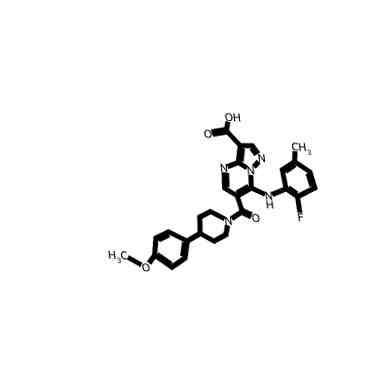 COc1ccc(C2CCN(C(=O)c3cnc4c(C(=O)O)cnn4c3Nc3cc(C)ccc3F)CC2)cc1